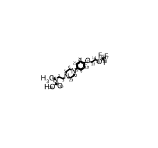 CN(CCN1CCN(c2ccc(OCCOC(F)(F)F)cc2)CC1)C(=O)O